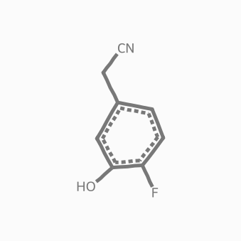 N#CCc1ccc(F)c(O)c1